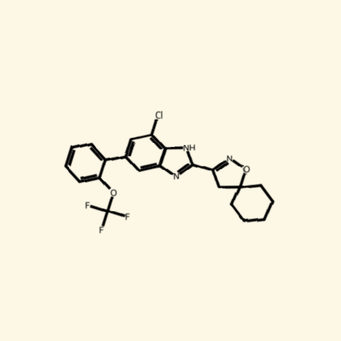 FC(F)(F)Oc1ccccc1-c1cc(Cl)c2[nH]c(C3=NOC4(CCCCC4)C3)nc2c1